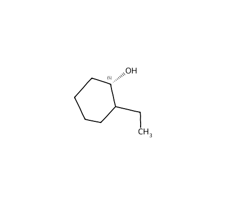 CCC1CCCC[C@@H]1O